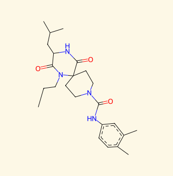 CCCN1C(=O)C(CC(C)C)NC(=O)C12CCN(C(=O)Nc1ccc(C)c(C)c1)CC2